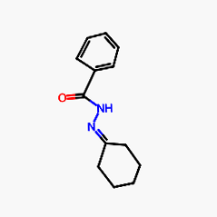 O=C(NN=C1CCCCC1)c1ccccc1